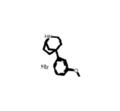 Br.COc1cccc(C23CCNC(CC2)C3)c1